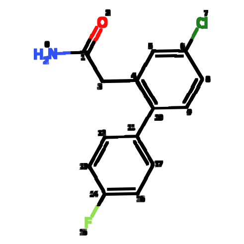 NC(=O)Cc1cc(Cl)ccc1-c1ccc(F)cc1